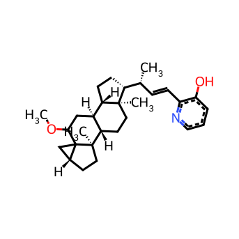 COC1C[C@H]2[C@@H]3CC[C@H]([C@H](C)/C=C/c4ncccc4O)[C@@]3(C)CC[C@@H]2[C@@]2(C)CC[C@@H]3CC132